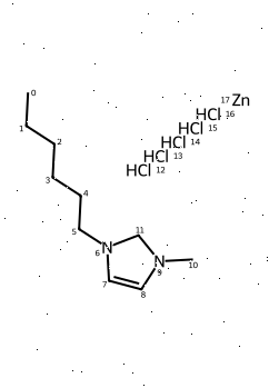 CCCCCCN1C=CN(C)C1.Cl.Cl.Cl.Cl.Cl.[Zn]